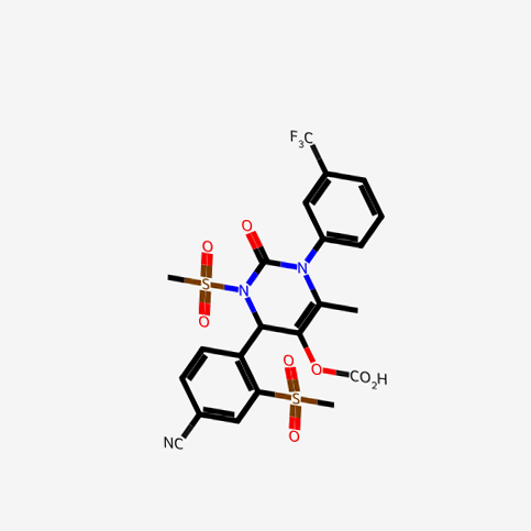 CC1=C(OC(=O)O)C(c2ccc(C#N)cc2S(C)(=O)=O)N(S(C)(=O)=O)C(=O)N1c1cccc(C(F)(F)F)c1